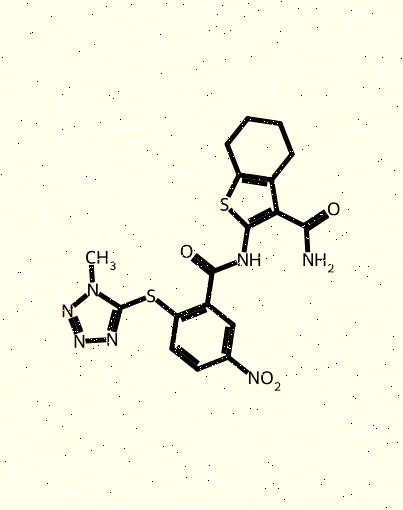 Cn1nnnc1Sc1ccc([N+](=O)[O-])cc1C(=O)Nc1sc2c(c1C(N)=O)CCCC2